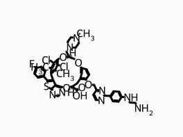 Cc1c(Cl)c2c(Cl)c(C)c1-c1c(-c3ccc(F)cc3)sc3ncnc(c13)O[C@@H](C(=O)O)Cc1cc(ccc1OCc1ccnc(-c3ccc(NCCN)cc3)n1)OC[C@@H](CN1CCN(C)CC1)O2